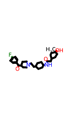 CC1(O)CCC(CC(=O)NC2CCC(CCN3CCC(C(=O)c4ccc(F)cc4)CC3)CC2)CC1